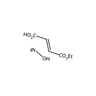 CC(C)O.CCOC(=O)/C=C/C(=O)O